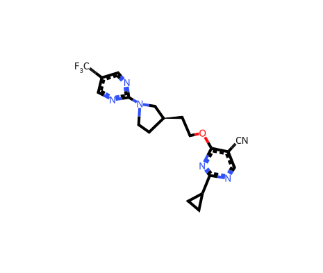 N#Cc1cnc(C2CC2)nc1OCC[C@H]1CCN(c2ncc(C(F)(F)F)cn2)C1